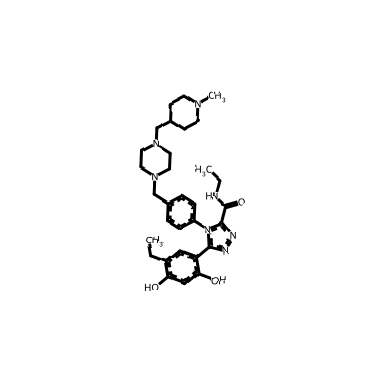 CCNC(=O)c1nnc(-c2cc(CC)c(O)cc2O)n1-c1ccc(CN2CCN(CC3CCN(C)CC3)CC2)cc1